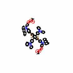 C=C(C)C(=O)OCOc1ccc(N(c2ccc(-c3cc4c(-c5ccc(N(c6ccccc6)c6ccccc6)cc5)c5sc(-c6ccc(N(c7ccc(OCOC(=O)C(=C)C)cc7)c7c8ccccc8cc8ccccc78)cc6)cc5c(-c5ccc(N(c6ccccc6)c6ccccc6)cc5)c4s3)cc2)c2c3ccccc3cc3ccccc23)cc1